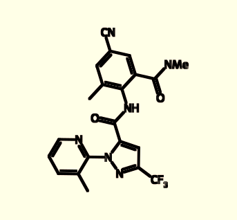 CNC(=O)c1cc(C#N)cc(C)c1NC(=O)c1cc(C(F)(F)F)nn1-c1ncccc1C